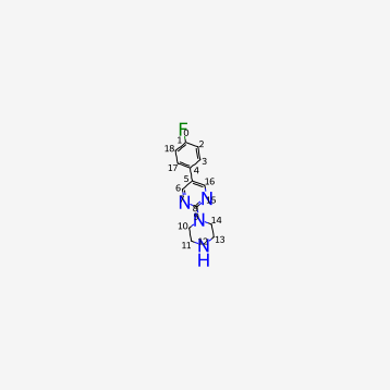 Fc1ccc(-c2cnc(N3CCNCC3)nc2)cc1